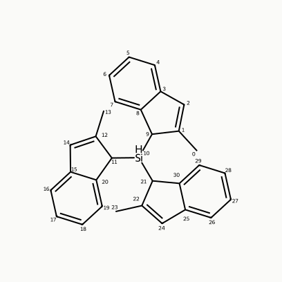 CC1=Cc2ccccc2C1[SiH](C1C(C)=Cc2ccccc21)C1C(C)=Cc2ccccc21